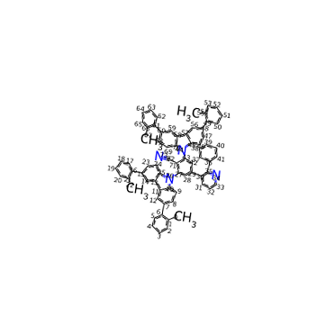 Cc1ccccc1-c1ccc2c(c1)c1cc(-c3ccccc3C)ccc1n2-c1cc(-c2cccnc2-c2ccccc2)cc(-n2c3ccc(-c4ccccc4C)cc3c3cc(-c4ccccc4C)ccc32)c1C#N